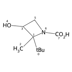 CC(C)(C)C1(C)C(O)CN1C(=O)O